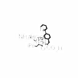 CC(=O)NCN(C(CC(C)C)C(=O)NC(Cc1ccc(-c2ccccn2)cc1)C(=O)O)P(=O)(O)O